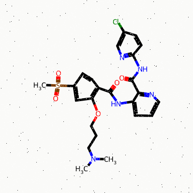 CN(C)CCCOc1cc(S(C)(=O)=O)ccc1C(=O)Nc1cccnc1C(=O)Nc1ccc(Cl)cn1